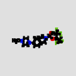 CN1CCN(c2ccc3cn(C(=O)OC(C(F)(F)F)C(F)(F)F)cc3c2)CC1